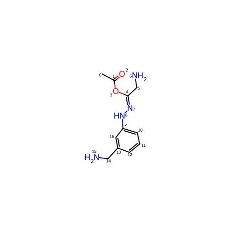 CC(=O)OC(CN)=NNc1cccc(CN)c1